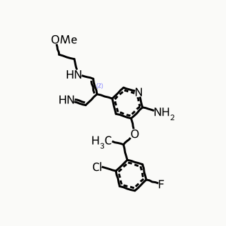 COCCN/C=C(\C=N)c1cnc(N)c(OC(C)c2cc(F)ccc2Cl)c1